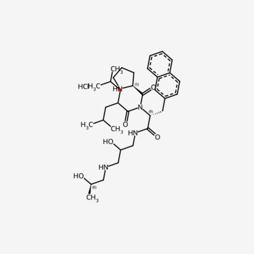 CC(C)CC(CC(C)C)C(=O)N(C(=O)[C@@H]1CCCN1)[C@H](Cc1ccc2ccccc2c1)C(=O)NCC(O)CNC[C@@H](C)O.Cl